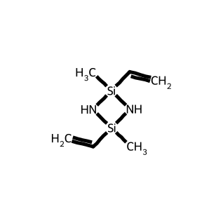 C=C[Si]1(C)N[Si](C)(C=C)N1